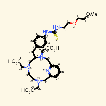 COCCOCCNC(=S)Nc1ccc(CC2CN(CC(=O)O)CCN(CC(=O)O)Cc3cccc(n3)CN2CC(=O)O)cc1